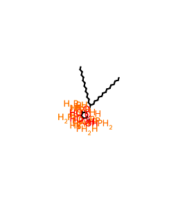 CCCCCCCCCCCCCCC(CCCCCCCCCCCCCC)CO[C@H]1O[C@H](C(O)PPPP)[C@@](O)(PPPP)[C@@](O)(PPPP)[C@]1(O)PPPP